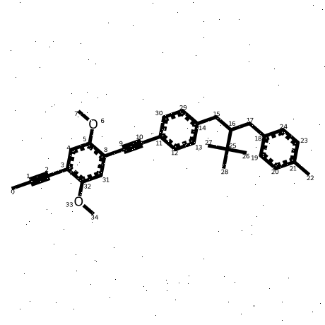 CC#Cc1cc(OC)c(C#Cc2ccc(CC(Cc3ccc(C)cc3)C(C)(C)C)cc2)cc1OC